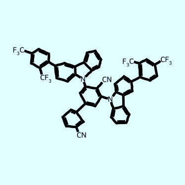 N#Cc1cccc(-c2cc(-n3c4ccccc4c4cc(-c5ccc(C(F)(F)F)cc5C(F)(F)F)ccc43)c(C#N)c(-n3c4ccccc4c4cc(-c5ccc(C(F)(F)F)cc5C(F)(F)F)ccc43)c2)c1